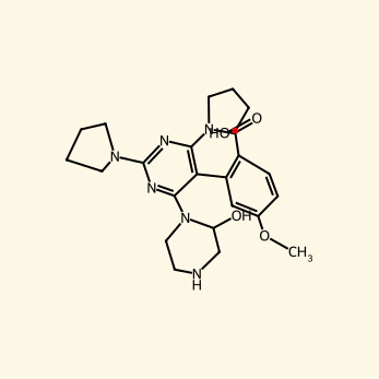 COc1ccc(C(=O)O)c(-c2c(N3CCCC3)nc(N3CCCC3)nc2N2CCNCC2O)c1